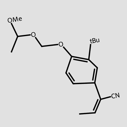 C/C=C(/C#N)c1ccc(OCOC(C)OC)c(C(C)(C)C)c1